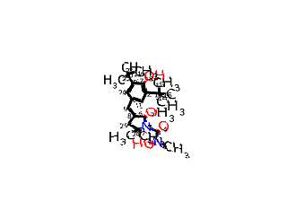 CN(O)C(=O)N1C(=O)/C(=C\c2cc(C(C)(C)C)c(O)c(C(C)(C)C)c2)CC1(C)C